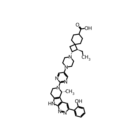 CC[C@H]1[C@H](N2CCN(c3cnc(N4CCc5[nH]c6nnc(-c7ccccc7O)cc6c5[C@H]4C)nc3)CC2)CC12CCC(C(=O)O)CC2